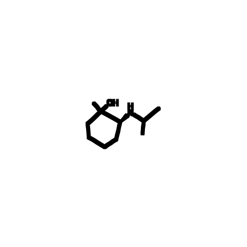 CC(C)N[C@H]1CCCCC1(C)O